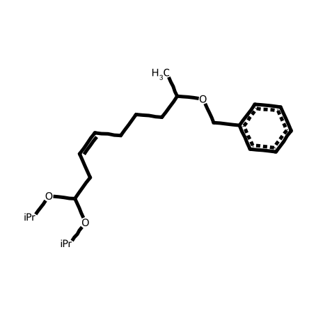 CC(C)OC(C/C=C\CCCC(C)OCc1ccccc1)OC(C)C